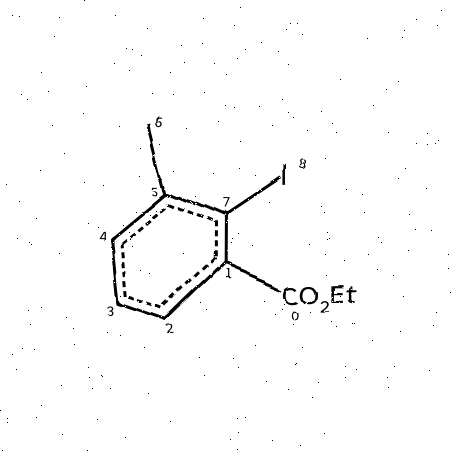 CCOC(=O)c1cccc(C)c1I